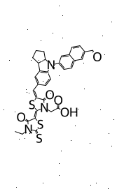 CCN1C(=O)/C(=c2\s/c(=C/c3ccc4c(c3)C3CCCC3N4c3ccc4cc(C=O)ccc4c3)c(=O)n2CC(=O)O)SC1=S